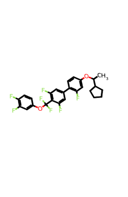 CC(Oc1ccc(-c2cc(F)c(C(F)(F)Oc3ccc(F)c(F)c3)c(F)c2)c(F)c1)C1CCCC1